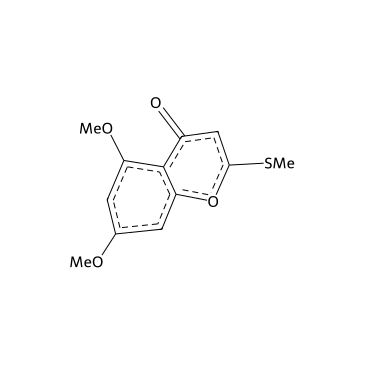 COc1cc(OC)c2c(=O)cc(SC)oc2c1